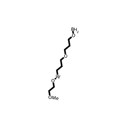 BOCCCOCC[CH2][W][O]CCOC